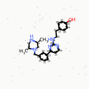 C[C@@H]1CN[C@@H](C)CN1Cc1cccc(-c2ccnc(NCCc3ccc(O)cc3)n2)c1